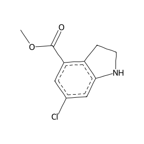 COC(=O)c1cc(Cl)cc2c1CCN2